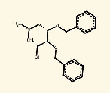 CN(C)C[C@H](OCc1ccccc1)[C@H](CO)OCc1ccccc1